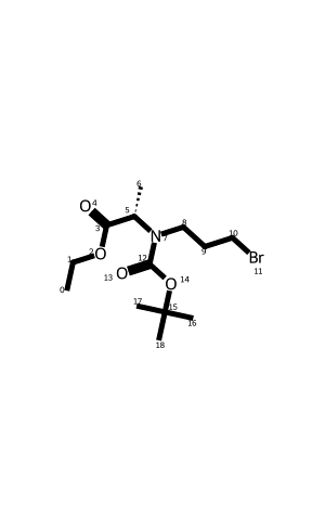 CCOC(=O)[C@H](C)N(CCCBr)C(=O)OC(C)(C)C